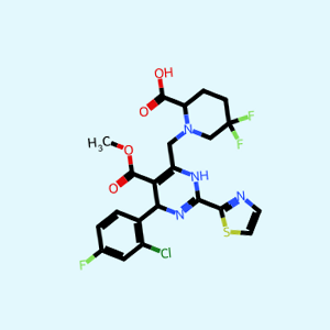 COC(=O)C1=C(CN2CC(F)(F)CCC2C(=O)O)NC(c2nccs2)=NC1c1ccc(F)cc1Cl